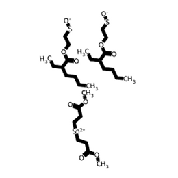 CCCCC(CC)C(=O)OCCS[O-].CCCCC(CC)C(=O)OCCS[O-].COC(=O)C[CH2][Sn+2][CH2]CC(=O)OC